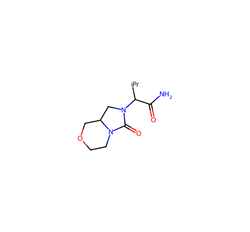 CC(C)C(C(N)=O)N1CC2COCCN2C1=O